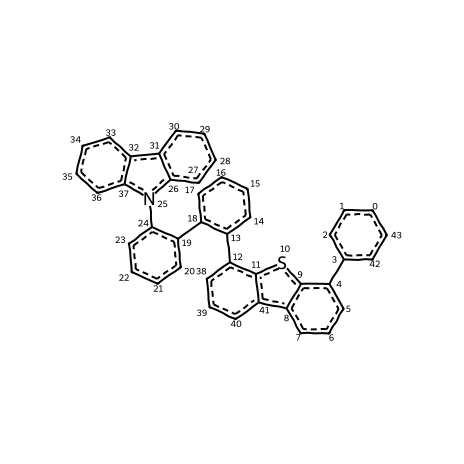 c1ccc(-c2cccc3c2sc2c(-c4ccccc4-c4ccccc4-n4c5ccccc5c5ccccc54)cccc23)cc1